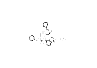 COC(=O)CN1C(=O)[C@@H](NC(=O)c2ccccc2)CN(C(=O)NCc2ccccc2)c2ccccc21